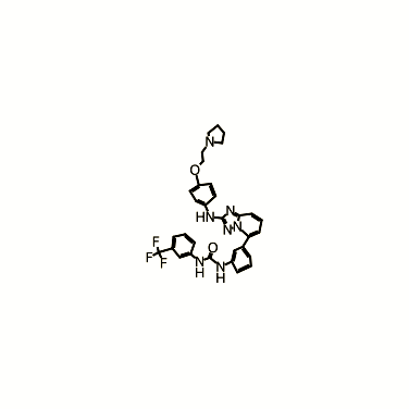 O=C(Nc1cccc(-c2cccc3nc(Nc4ccc(OCCN5CCCC5)cc4)nn23)c1)Nc1cccc(C(F)(F)F)c1